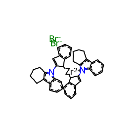 C1=C(n2c3c(c4ccccc42)CCCC3)[CH]([Zr+2][CH]2C(n3c4c(c5ccccc53)CCCC4)=Cc3ccccc32)c2ccccc21.[Br-].[Br-]